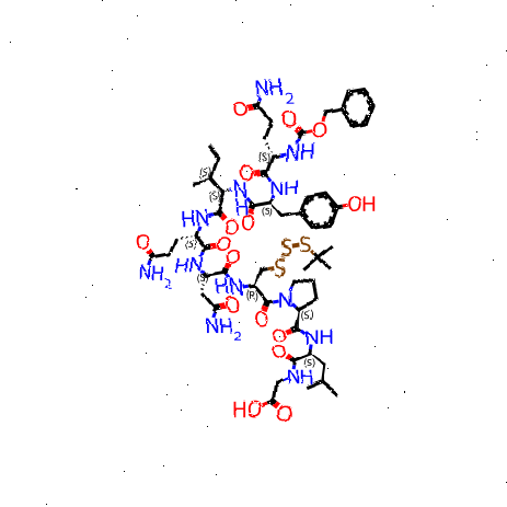 CC[C@H](C)[C@H](NC(=O)[C@H](Cc1ccc(O)cc1)NC(=O)[C@H](CCC(N)=O)NC(=O)OCc1ccccc1)C(=O)N[C@@H](CCC(N)=O)C(=O)N[C@@H](CC(N)=O)C(=O)N[C@@H](CSSSC(C)(C)C)C(=O)N1CCC[C@H]1C(=O)N[C@@H](CC(C)C)C(=O)NCC(=O)O